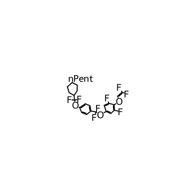 CCCCCC1CCC(C(F)(F)Oc2ccc(C(F)(F)Oc3cc(F)c(OC=C(F)F)c(F)c3)cc2)CC1